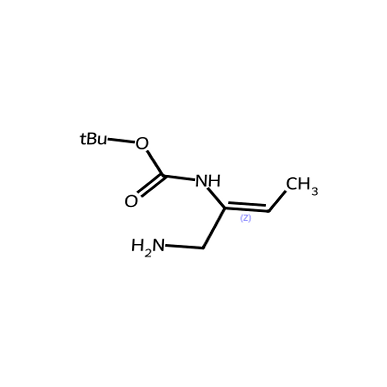 C/C=C(/CN)NC(=O)OC(C)(C)C